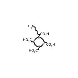 NCCCCC(C(=O)O)N1CCN(CC(=O)O)CCN(CC(=O)O)CCN(CC(=O)O)CC1